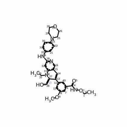 CCONC(=O)c1cc(OC)cc(C2=Cc3cnc(Nc4ccc(N5CCOCC5)cc4)cc3N(CC)/C2=C\O)c1